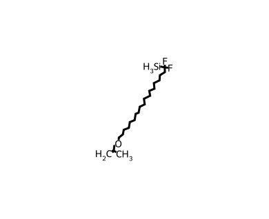 C=C(C)COCCCCCCCCCCCCCCCCCCC(F)(F)[SiH3]